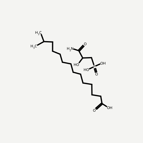 CC(C)CCCCCCCCCCCC(=O)O.NC(=O)C(O)CP(=O)(O)O